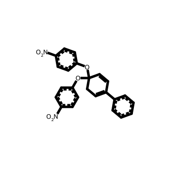 O=[N+]([O-])c1ccc(OC2(Oc3ccc([N+](=O)[O-])cc3)C=CC(c3ccccc3)=CC2)cc1